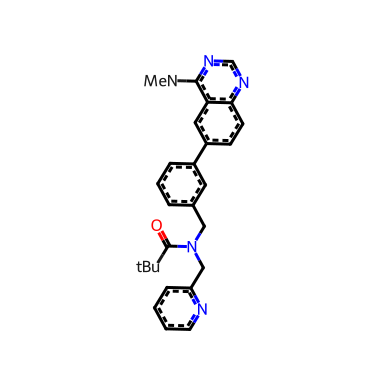 CNc1ncnc2ccc(-c3cccc(CN(Cc4ccccn4)C(=O)C(C)(C)C)c3)cc12